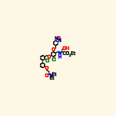 CCOC(=O)C(CO)NCc1cc(Cl)c(OCc2cccc(-c3cccc(OCCC(=O)N(CC)CC)c3)c2Cl)cc1OCc1ccc2nonc2c1